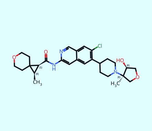 C[C@@H]1[C@H](C(=O)Nc2cc3cc(C4CCN([C@]5(C)COC[C@@H]5O)CC4)c(Cl)cc3cn2)C12CCOCC2